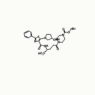 CCCCOC(=O)N1CCN(C(=O)CC[C@H](NC(=O)c2nc(-c3ccccc3)sc2N2CC[C@H](OC)C2)C(=O)O)CC1